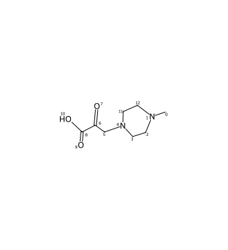 CN1CCN(CC(=O)C(=O)O)CC1